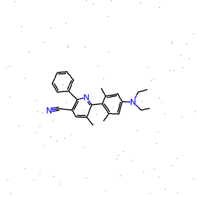 CCN(CC)c1cc(C)c(-c2nc(-c3ccccc3)c(C#N)cc2C)c(C)c1